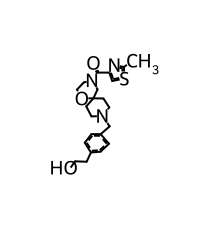 Cc1nc(C(=O)N2CCOC3(CCN(Cc4ccc(CCO)cc4)CC3)C2)cs1